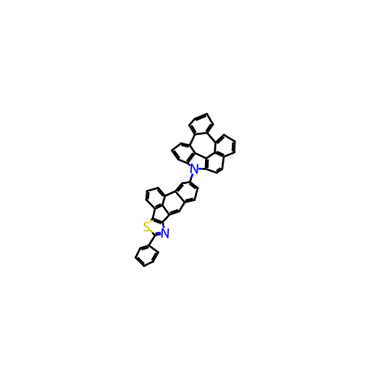 c1ccc(-c2nc3c(s2)-c2cccc4c2c-3cc2ccc(-n3c5cccc6c5c5c7c(cccc7ccc53)-c3ccccc3-6)cc24)cc1